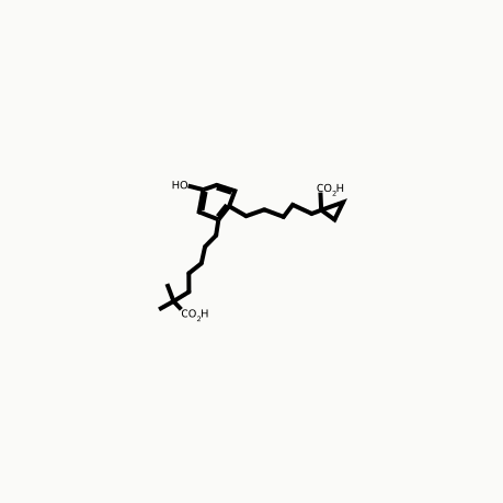 CC(C)(CCCCCc1cc(O)ccc1CCCCCC1(C(=O)O)CC1)C(=O)O